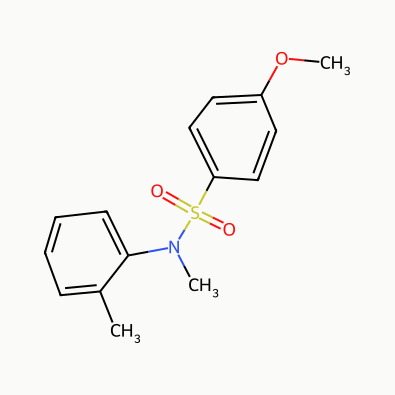 COc1ccc(S(=O)(=O)N(C)c2ccccc2C)cc1